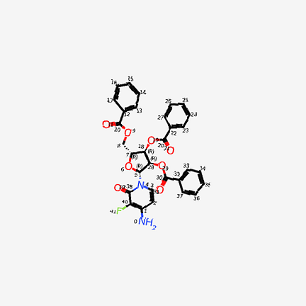 Nc1ccn([C@@H]2O[C@H](COC(=O)c3ccccc3)[C@@H](OC(=O)c3ccccc3)[C@H]2OC(=O)c2ccccc2)c(=O)c1F